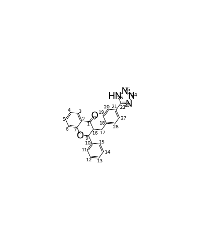 O=C1c2ccccc2OC(c2ccccc2)C1Cc1ccc(-c2nnn[nH]2)cc1